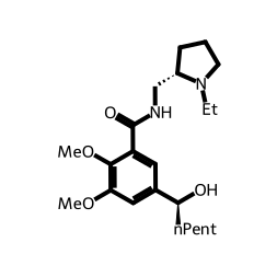 CCCCC[C@H](O)c1cc(OC)c(OC)c(C(=O)NC[C@@H]2CCCN2CC)c1